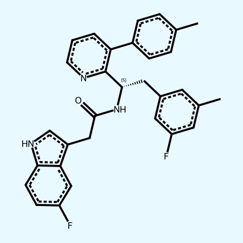 Cc1ccc(-c2cccnc2[C@H](Cc2cc(C)cc(F)c2)NC(=O)Cc2c[nH]c3ccc(F)cc23)cc1